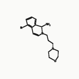 NC1c2cccc(Br)c2C=CN1CCCN1CCOCC1